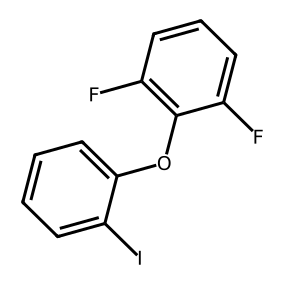 Fc1cccc(F)c1Oc1ccccc1I